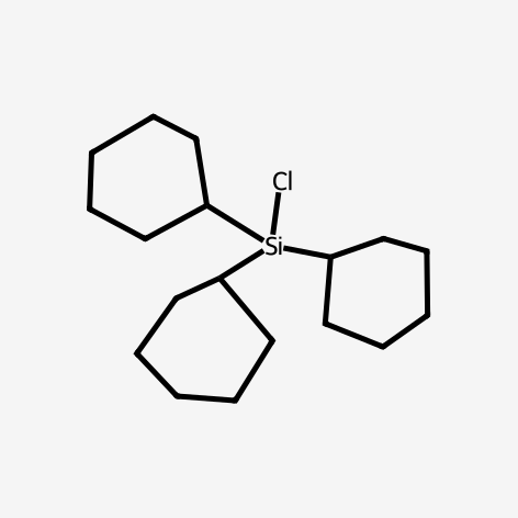 Cl[Si](C1CCCCC1)(C1CCCCC1)C1CCCCC1